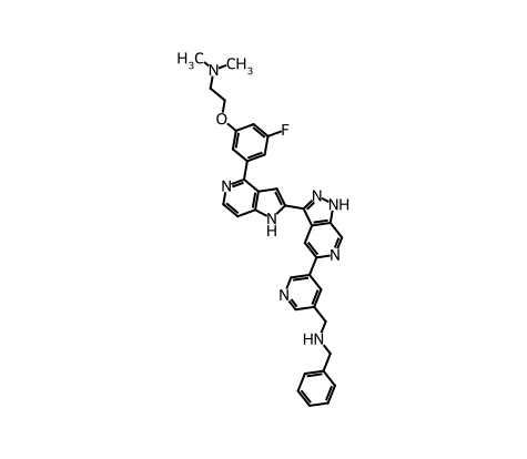 CN(C)CCOc1cc(F)cc(-c2nccc3[nH]c(-c4n[nH]c5cnc(-c6cncc(CNCc7ccccc7)c6)cc45)cc23)c1